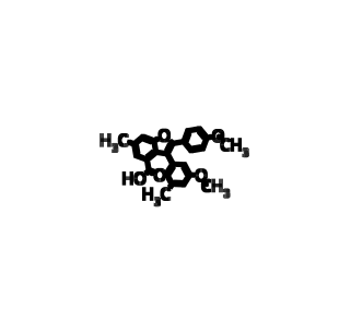 COc1ccc(-c2oc3cc(C)cc(C(=O)O)c3c2-c2cc(C)cc(OC)c2)cc1